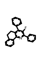 Fc1c(-c2ccccc2)nc2c(c1-c1ccccc1)CCc1ccccc1-2